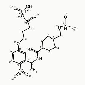 CC(NC(=O)C1CCC(CO[PH](=O)O)CC1)c1cc(OCCCC(=O)O[PH](=O)O)ccc1[N+](=O)[O-]